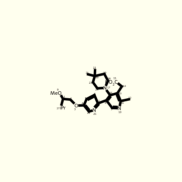 COC(COc1ccc(-c2cnc(C)c(CC(=O)O)c2N2CCC(C)(C)CC2)nc1)C(C)C